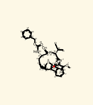 COC(=O)c1nc2oc1C13c4ccccc4NC1Oc1ccc(cc13)C[C@H](NC(=O)OCc1ccccc1)C(=O)N[C@H]2C(C)C